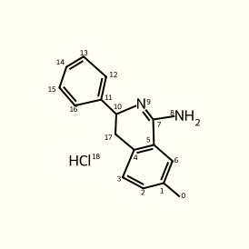 Cc1ccc2c(c1)C(N)=NC(c1ccccc1)C2.Cl